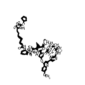 C=CC1CC1(NC(=O)C1CC(Oc2cc(-c3csc(NC(C)C)n3)nc3cc(OC)ccc23)CN1C(=O)OC(C)(C)C)C(=O)NS(=O)(=O)c1ccccc1NC(=O)CCCCCCC(NC(=O)OC1CCCC1)C(=O)O